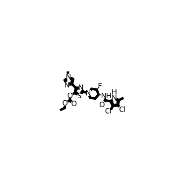 CCOC(=O)Oc1sc(N2CC[C@@H](NC(=O)c3[nH]c(C)c(Cl)c3Cl)[C@@H](F)C2)nc1-c1cn(C)cn1